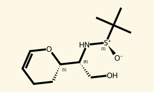 CC(C)(C)[S@@+]([O-])N[C@H](CO)[C@@H]1CCC=CO1